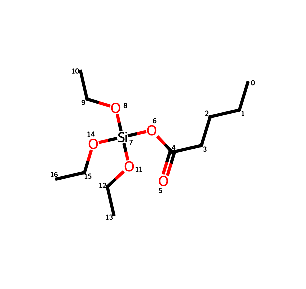 CCCCC(=O)O[Si](OCC)(OCC)OCC